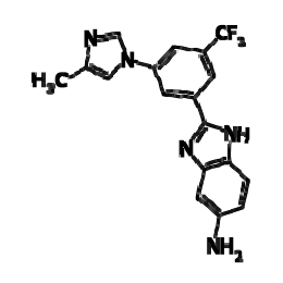 Cc1cn(-c2cc(-c3nc4cc(N)ccc4[nH]3)cc(C(F)(F)F)c2)cn1